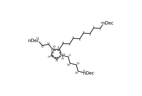 CCCCCCCCCCCCCCCCCCc1n(CCCCCCCCCCCC)cc[n+]1CCCCCCCCCCCCCC